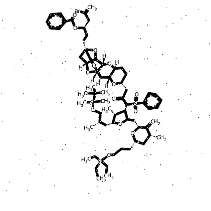 C=C(Br)C[C@@H](CC[C@@]12C[C@H]3O[C@H]4[C@@H](O1)[C@H]1O[C@@H](CC(=O)C([C@H]5C(C[C@H]6O[C@@H](CCCO[Si](CC)(CC)CC)C[C@@H](C)C6=C)O[C@H](C[C@H](C)CO[Si](C)(C)C(C)(C)C)[C@@H]5C)S(=O)(=O)c5ccccc5)CC[C@@H]1O[C@H]4C3O2)OC(=O)c1ccccc1